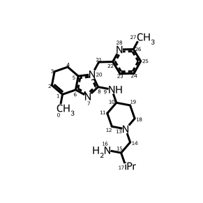 CC1=CCCc2c1nc(NC1CCN(CC(N)C(C)C)CC1)n2Cc1cccc(C)n1